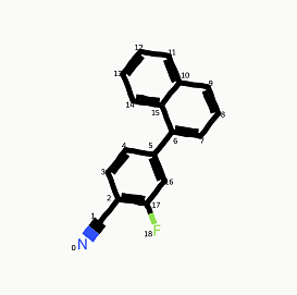 N#Cc1ccc(-c2cccc3ccccc23)cc1F